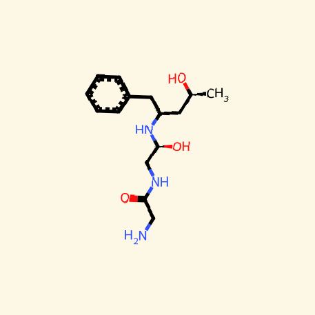 C[C@H](O)CC(Cc1ccccc1)N[C@@H](O)CNC(=O)CN